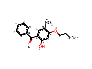 CCCCCCCCCCCCOc1cc(O)c(C(=O)c2ccccc2)cc1[N+](=O)[O-]